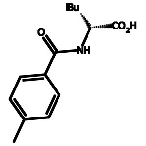 CC[C@@H](C)[C@@H](NC(=O)c1ccc(C)cc1)C(=O)O